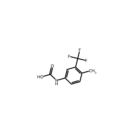 Cc1ccc(NC(=O)O)cc1C(F)(F)F